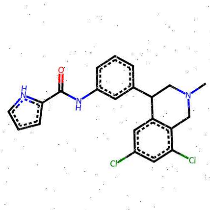 CN1Cc2c(Cl)cc(Cl)cc2C(c2cccc(NC(=O)c3ccc[nH]3)c2)C1